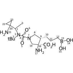 CC(N(C(C)(C)C)S(=O)(=O)N1C[C@H](CCCB(O)O)[C@](N)(C(=O)O)C1)C1(N)CC1